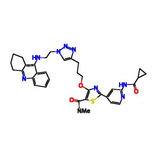 CNC(=O)c1sc(-c2ccnc(NC(=O)C3CC3)c2)nc1OCCCc1cn(CCNc2c3c(nc4ccccc24)CCCC3)nn1